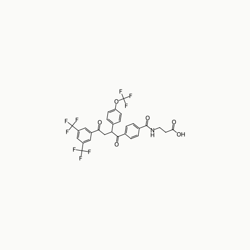 O=C(O)CCNC(=O)c1ccc(C(=O)C(CC(=O)c2cc(C(F)(F)F)cc(C(F)(F)F)c2)c2ccc(OC(F)(F)F)cc2)cc1